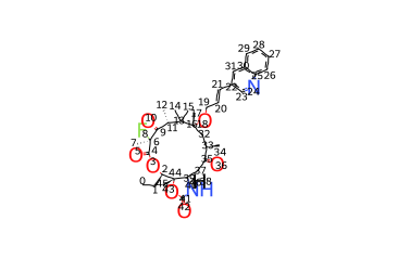 CC[C@H]1OC(=O)[C@@](C)(F)C(=O)[C@H](C)C(C)(C)[C@](C)(OC/C=C/c2cnc3ccccc3c2)C[C@@H](C)C(=O)[C@H](C)[C@H]2NC(=O)O[C@@]21C